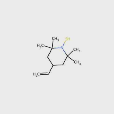 C=CC1CC(C)(C)N(S)C(C)(C)C1